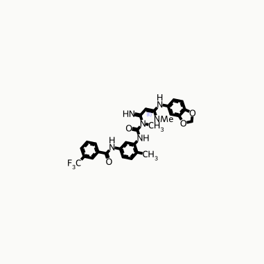 CN/C(=C\C(=N)N(C)C(=O)Nc1cc(NC(=O)c2cccc(C(F)(F)F)c2)ccc1C)Nc1ccc2c(c1)OCO2